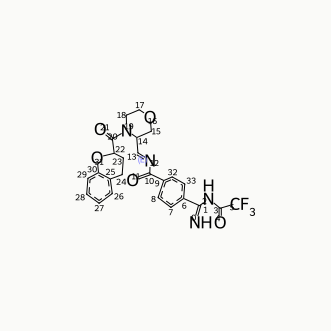 N=C(NC(=O)C(F)(F)F)c1ccc(C(=O)/N=C/C2COCCN2C(=O)C2CCc3ccccc3O2)cc1